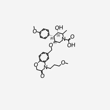 COCCCN1C(=O)COc2ccc(CO[C@H]3CN(C(=O)O)C(C)[C@@H](O)[C@H]3c3ccc(OC)cc3)cc21